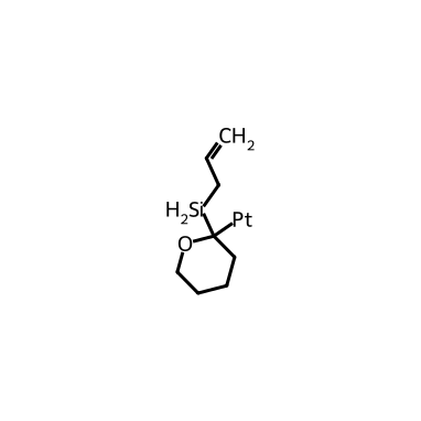 C=CC[SiH2][C]1([Pt])CCCCO1